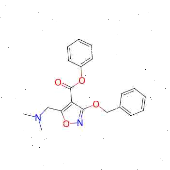 CN(C)Cc1onc(OCc2ccccc2)c1C(=O)Oc1ccccc1